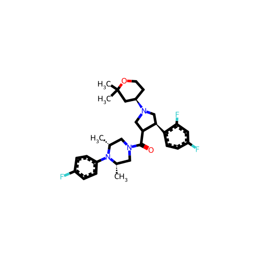 C[C@@H]1CN(C(=O)C2CN([C@@H]3CCOC(C)(C)C3)C[C@H]2c2ccc(F)cc2F)C[C@H](C)N1c1ccc(F)cc1